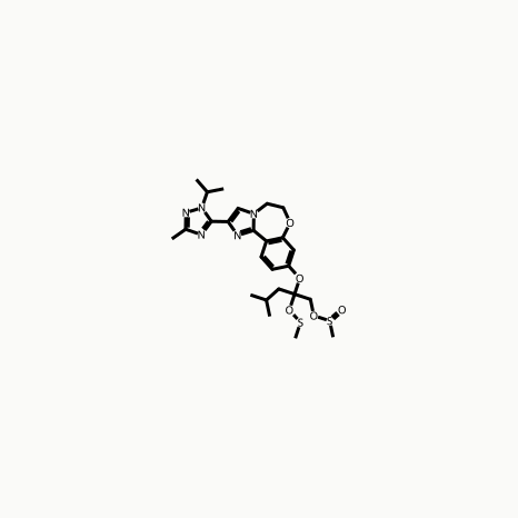 CSOC(COS(C)=O)(CC(C)C)Oc1ccc2c(c1)OCCn1cc(-c3nc(C)nn3C(C)C)nc1-2